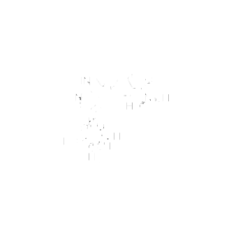 CN(C)C(=O)c1ccc(-c2c[nH]c3ncc(B4OC(C)(C)C(C)(C)O4)cc23)cc1